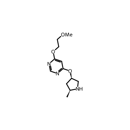 COCCOc1cc(O[C@H]2CN[C@@H](C)C2)ncn1